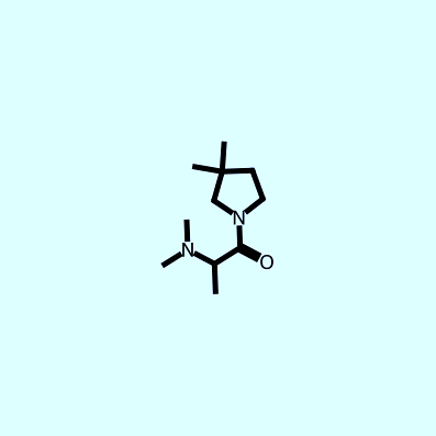 CC(C(=O)N1CCC(C)(C)C1)N(C)C